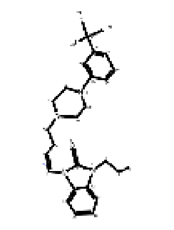 CCCn1c(=O)n(/C=C\CCN2CCN(c3cccc(C(F)(F)F)c3)CC2)c2ccccc21